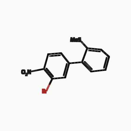 CSc1ccccc1-c1ccc([N+](=O)[O-])c(Br)c1